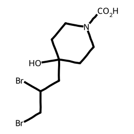 O=C(O)N1CCC(O)(CC(Br)CBr)CC1